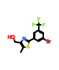 Cc1sc(-c2cc(Br)cc(C(F)(F)F)c2)nc1CO